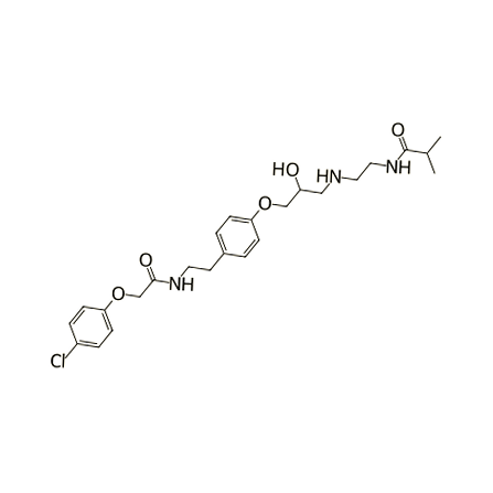 CC(C)C(=O)NCCNCC(O)COc1ccc(CCNC(=O)COc2ccc(Cl)cc2)cc1